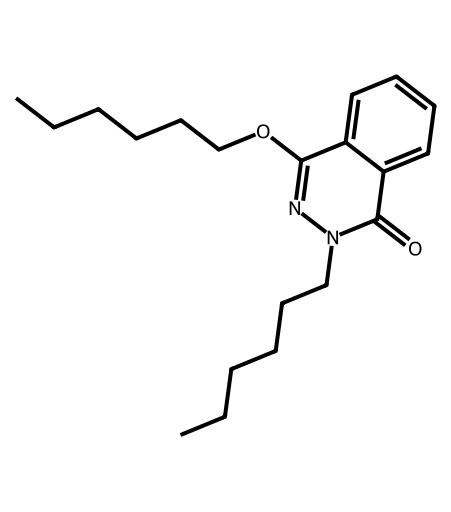 CCCCCCOc1nn(CCCCCC)c(=O)c2ccccc12